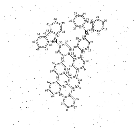 c1ccc(-c2ccc(-c3ccc(-c4ccc(-n5c6ccccc6c6ccccc65)cc4)c(-c4ccc(-n5c6ccccc6c6ccccc65)cc4)c3)c(-c3ccccc3)c2-c2ccccc2)cc1